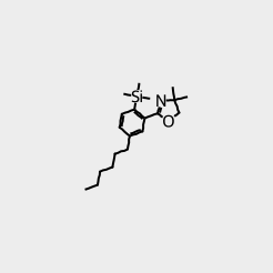 CCCCCCc1ccc([Si](C)(C)C)c(C2=NC(C)(C)CO2)c1